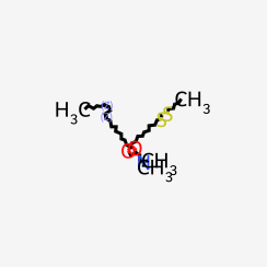 CCCCC/C=C\C/C=C\CCCCCCCCC1(CCCCCCCCCSCSCCCCC)OCC(CCN(C)C)O1